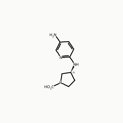 Nc1ccc(N[C@H]2CCN(C(=O)O)C2)nc1